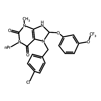 CCCn1c(=O)c2c(n(C)c1=O)NC(Oc1cccc(OC(F)(F)F)c1)N2Cc1ccc(Cl)cc1